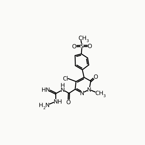 Cn1nc(C(=O)NC(=N)NN)c(Cl)c(-c2ccc(S(C)(=O)=O)cc2)c1=O